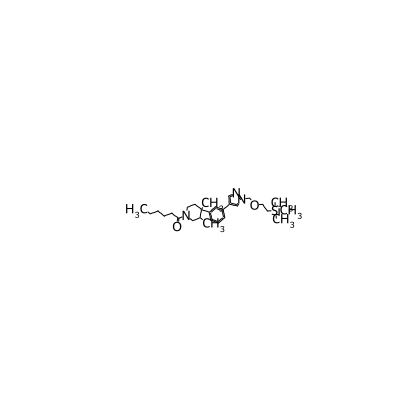 CCCCCC(=O)N1CCC(C)(c2cccc(-c3cnn(COCC[Si](C)(C)C)c3)c2)C(C)C1